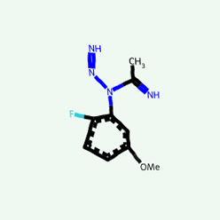 COc1ccc(F)c(N(N=N)C(C)=N)c1